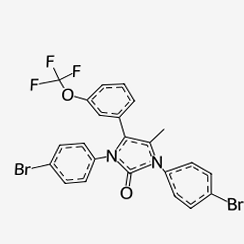 Cc1c(-c2cccc(OC(F)(F)F)c2)n(-c2ccc(Br)cc2)c(=O)n1-c1ccc(Br)cc1